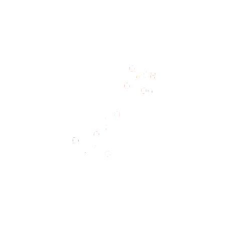 CCC(C)(C)C(=O)OCCOCCOP(=O)(O)O